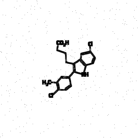 Cc1cc(-c2[nH]c3ccc(Cl)cc3c2CCCC(=O)O)ccc1Cl